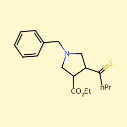 CCCC(=S)C1CN(Cc2ccccc2)CC1C(=O)OCC